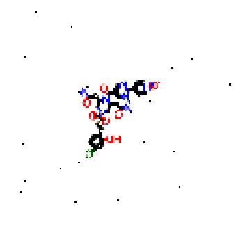 CN(C)C(=O)CC1CN(S(=O)(=O)C=Cc2ccc(Cl)cc2O)CC(CC(=O)N(C)C)N1C(=O)c1cnc(-c2cc[n+]([O-])cc2)nc1